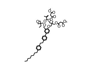 C=C(C)C(=O)OCC(COC(=O)CC(=O)OC)(COC(=O)CC(=O)OC)COc1ccc(-c2ccc(CCc3ccc(CCCCCCCC)cc3)cc2)cc1COCC1(CC)COC1